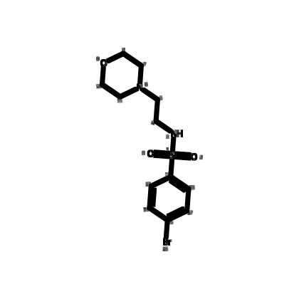 O=S(=O)(NCCN1CCOCC1)c1ccc(Br)cc1